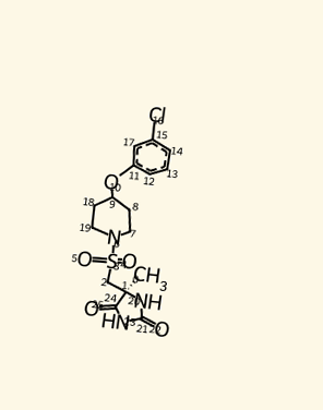 C[C@]1(CS(=O)(=O)N2CCC(Oc3cccc(Cl)c3)CC2)NC(=O)NC1=O